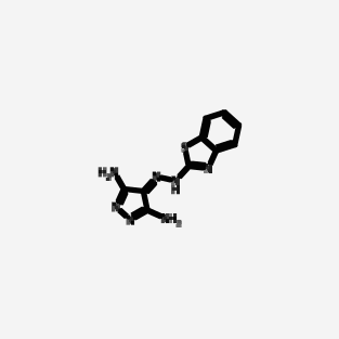 NC1=NN=C(N)C1=NNc1nc2ccccc2s1